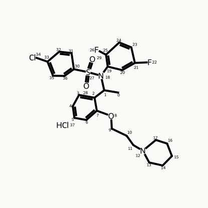 CC(c1ccccc1OCCCN1CCCCC1)N(c1cc(F)ccc1F)S(=O)(=O)c1ccc(Cl)cc1.Cl